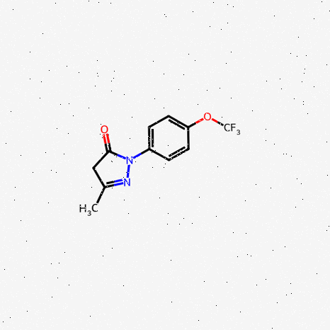 CC1=NN(c2ccc(OC(F)(F)F)cc2)C(=O)C1